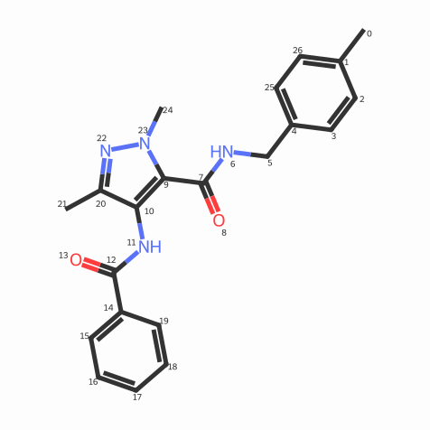 Cc1ccc(CNC(=O)c2c(NC(=O)c3ccccc3)c(C)nn2C)cc1